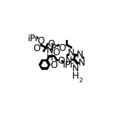 CC(C)OC(=O)C(Cc1ccccc1)OP(=O)(COC(C)Cn1cnc2c(N)ncnc21)NC(C)(C)C(=O)OC(C)C